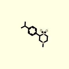 CC(C)c1ccc(C2CN(C)CCS2(=O)=O)cc1